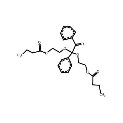 CCCC(=O)OCCOC(OCCOC(=O)CCC)(C(=O)c1ccccc1)c1ccccc1